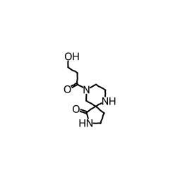 O=C(CCO)N1CCNC2(CCNC2=O)C1